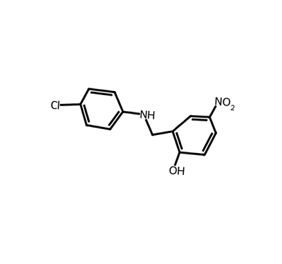 O=[N+]([O-])c1ccc(O)c(CNc2ccc(Cl)cc2)c1